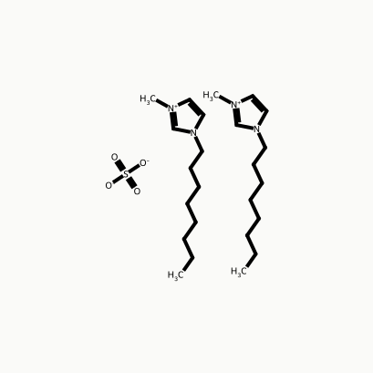 CCCCCCCCn1cc[n+](C)c1.CCCCCCCCn1cc[n+](C)c1.O=S(=O)([O-])[O-]